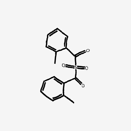 Cc1ccccc1C(=O)S(=O)(=O)C(=O)c1ccccc1C